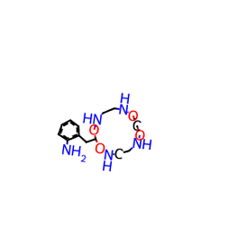 Nc1ccccc1CC1ONCCNOCONCCNO1